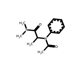 CC(=O)N(c1ccccc1)C(C)C(=O)N(C)C